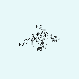 CCNC(=O)[C@@H]1CCCN1C(=O)[C@H](CCCNC(=N)N)NC(=O)[C@H](CC(C)C)NN(CN=O)C(=O)[C@@H](N)Cc1ccc(O)cc1.Cl.Cl